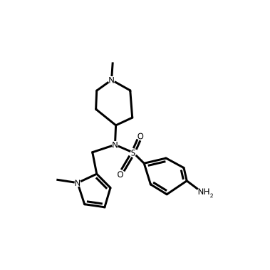 CN1CCC(N(Cc2cccn2C)S(=O)(=O)c2ccc(N)cc2)CC1